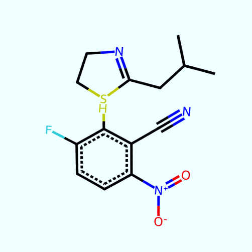 CC(C)CC1=NCC[SH]1c1c(F)ccc([N+](=O)[O-])c1C#N